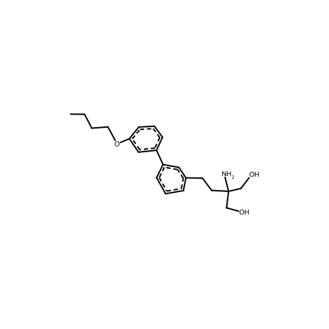 CCCCOc1cccc(-c2cccc(CCC(N)(CO)CO)c2)c1